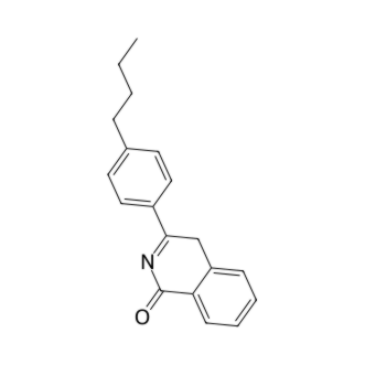 CCCCc1ccc(C2=NC(=O)c3ccccc3C2)cc1